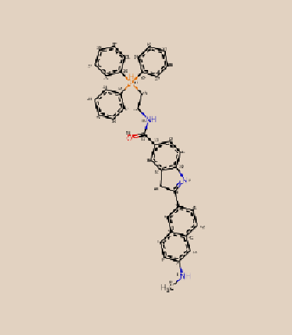 CNc1ccc2cc(C3=Nc4ccc(C(=O)NCC[PH](c5ccccc5)(c5ccccc5)c5ccccc5)cc4C3)ccc2c1